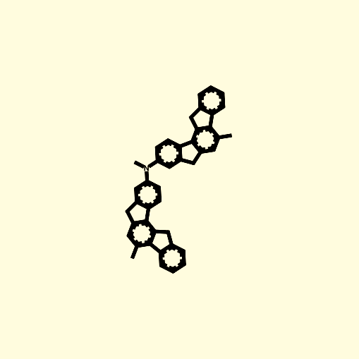 Cc1cc2c(c3c1-c1ccccc1C3)-c1ccc(N(C)c3ccc4c(c3)Cc3cc(C)c5c(c3-4)Cc3ccccc3-5)cc1C2